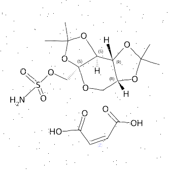 CC1(C)O[C@@H]2[C@@H](CO[C@@]3(COS(N)(=O)=O)OC(C)(C)O[C@@H]23)O1.O=C(O)/C=C\C(=O)O